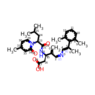 C=C(/C=N\C=C(/C)c1c(C)cccc1C)[C@@H](CC(=O)O)NC(=O)C(CC(C)C)n1ccc(C)cc1=O